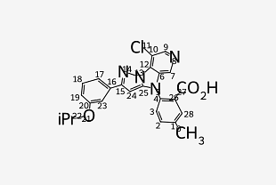 Cc1ccc(-n2c3cncc(Cl)c3n3nc(-c4cccc(OC(C)C)c4)cc23)c(C(=O)O)c1